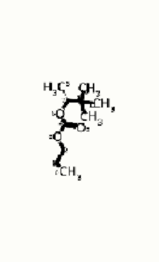 CCCOC(=O)O[C@H](C)C(C)(C)C